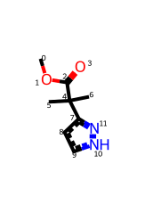 COC(=O)C(C)(C)c1cc[nH]n1